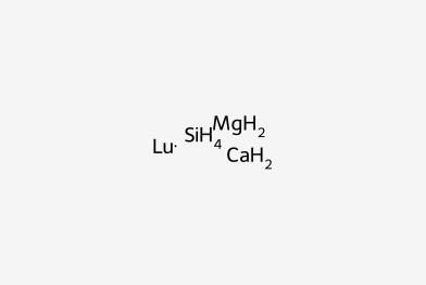 [CaH2].[Lu].[MgH2].[SiH4]